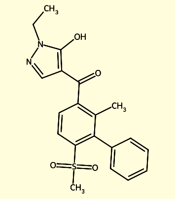 CCn1ncc(C(=O)c2ccc(S(C)(=O)=O)c(-c3ccccc3)c2C)c1O